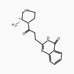 C[C@@H]1CNCCN1C(=O)CCc1nc2ccccc2c(=O)[nH]1